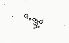 CC(C)NC(=O)Cn1c(-c2cccc(Cl)c2)nc2ccc([C@H]3C[C@@H](CN4CCCCCC4)C3)cc2c1=O